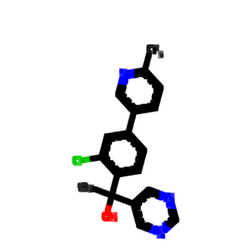 CC(C)(C)C(O)(c1cncnc1)c1ccc(-c2ccc(C(F)(F)F)nc2)cc1Cl